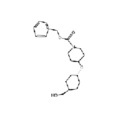 O=C(OCc1ccccc1)N1CCC(O[C@H]2CC[C@H](CO)CC2)CC1